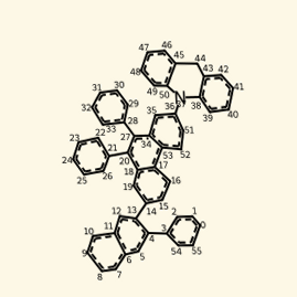 c1ccc(-c2cc3ccccc3cc2-c2ccc3c(c2)c(-c2ccccc2)c(-c2ccccc2)c2cc(N4c5ccccc5Cc5ccccc54)ccc23)cc1